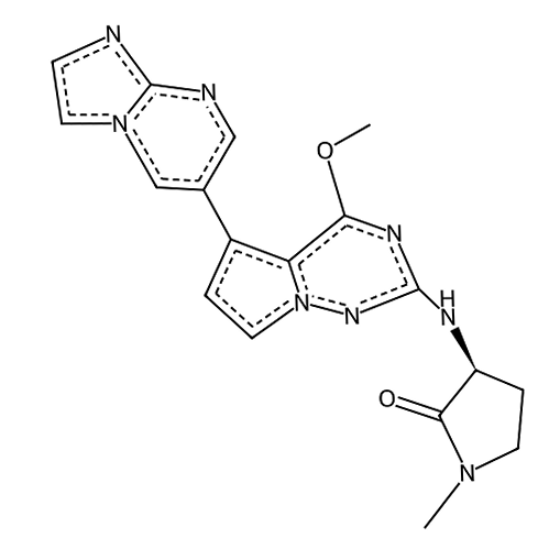 COc1nc(N[C@H]2CCN(C)C2=O)nn2ccc(-c3cnc4nccn4c3)c12